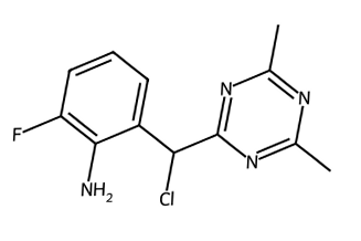 Cc1nc(C)nc(C(Cl)c2cccc(F)c2N)n1